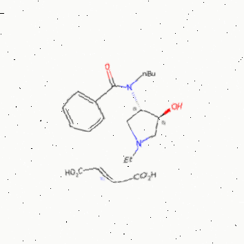 CCCCN(C(=O)c1ccccc1)[C@H]1CN(CC)C[C@@H]1O.O=C(O)/C=C/C(=O)O